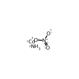 N.O=[N+]([O-])[O-].[Cd]